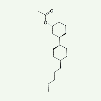 CCCCC[C@H]1CC[C@@H]([C@@H]2CCC[C@@H](OC(C)=O)C2)CC1